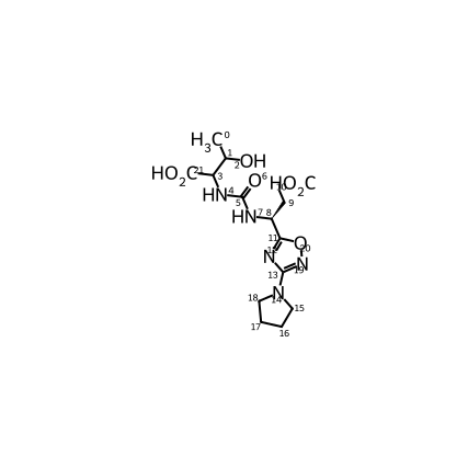 CC(O)C(NC(=O)N[C@@H](CC(=O)O)c1nc(N2CCCC2)no1)C(=O)O